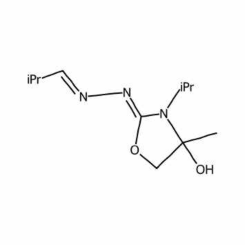 CC(C)/C=N/N=C1\OCC(C)(O)N1C(C)C